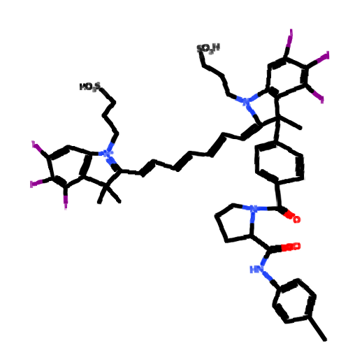 Cc1ccc(NC(=O)C2CCCN2C(=O)c2ccc(C3(C)/C(=C/C=C/C=C/C=C/C4=[N+](CCCS(=O)(=O)O)c5cc(I)c(I)c(I)c5C4(C)C)N(CCCS(=O)(=O)O)c4cc(I)c(I)c(I)c43)cc2)cc1